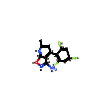 Cc1cc(-c2c(F)cc(F)cc2F)c2c(N)noc2n1